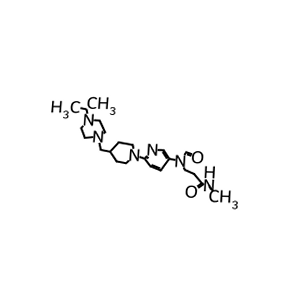 CNC(=O)CCN(C=O)c1ccc(N2CCC(CN3CCN(C(C)C)CC3)CC2)nc1